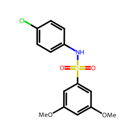 COc1cc(OC)cc(S(=O)(=O)Nc2ccc(Cl)cc2)c1